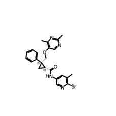 Cc1ncc(OC[C@@]2(c3ccccc3)C[C@H]2C(=O)Nc2cnc(Br)c(C)c2)c(C)n1